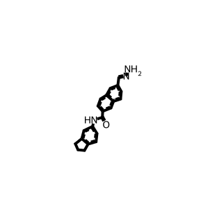 NN=Cc1ccc2cc(C(=O)Nc3ccc4c(c3)CCC4)ccc2c1